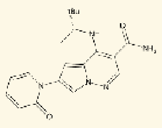 C[C@@H](Nc1c(C(N)=O)cnn2cc(-n3ccccc3=O)cc12)C(C)(C)C